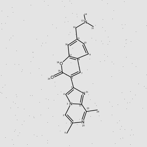 Cc1cn2cc(-c3cc4ccc(CN(C)C)cc4oc3=O)nc2c(C)n1